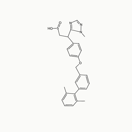 Cc1cccc(C)c1-c1cccc(COc2ccc(C(CS(=O)O)c3ncnn3C)cc2)c1